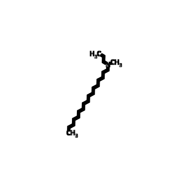 CCCCCCCCCCCCCCCCCN(C)CCC